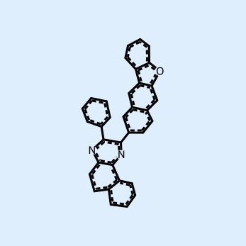 c1ccc(-c2nc3ccc4ccccc4c3nc2-c2ccc3cc4oc5ccccc5c4cc3c2)cc1